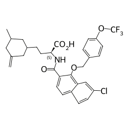 C=C1CC(C)CC(CC[C@H](NC(=O)c2ccc3ccc(Cl)cc3c2OCc2ccc(OC(F)(F)F)cc2)C(=O)O)C1